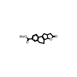 COC(=O)c1ccc2c(c1)CCC1=C2CC2CC(=O)OC12